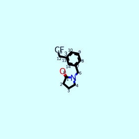 O=C1CCCN1Cc1cccc(CC(F)(F)F)c1